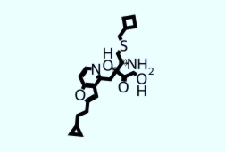 N[C@@H](CSCC1CCC1)[C@](O)(Cc1nccc2oc(CCC3CC3)cc12)C(=O)CO